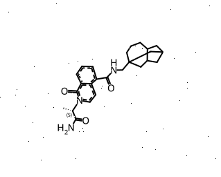 C[C@@H](C(N)=O)n1ccc2c(C(=O)NCC34CCCC5CC(CC5C3)C4)cccc2c1=O